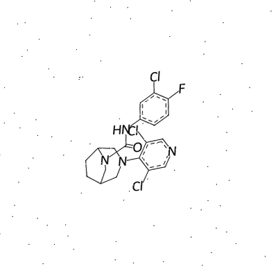 O=C(Nc1ccc(F)c(Cl)c1)N1CC2CCC1CN(c1c(Cl)cncc1Cl)C2